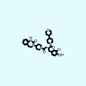 O=C(C[C@H](Cc1ccc(O)c(Cl)c1)C(=O)N1CCC(C2CCOCC2)CC1)N1CCC(N2CCc3ccccc3NC2=O)CC1